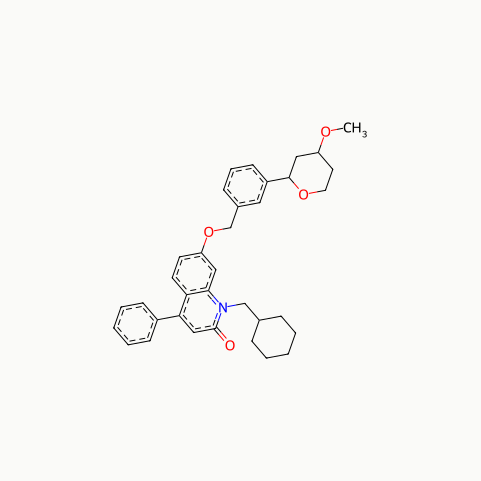 COC1CCOC(c2cccc(COc3ccc4c(-c5ccccc5)cc(=O)n(CC5CCCCC5)c4c3)c2)C1